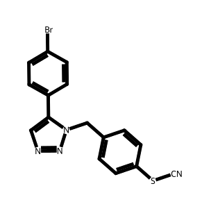 N#CSc1ccc(Cn2nncc2-c2ccc(Br)cc2)cc1